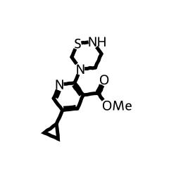 COC(=O)c1cc(C2CC2)cnc1N1CCNSC1